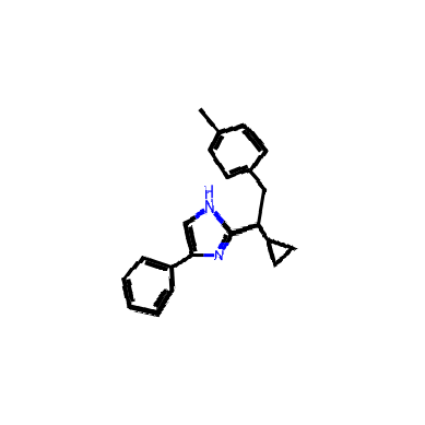 Cc1ccc(CC(c2nc(-c3ccccc3)c[nH]2)C2CC2)cc1